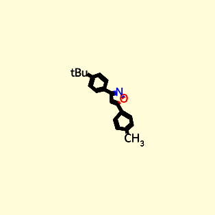 Cc1ccc(-c2cc(-c3ccc(C(C)(C)C)cc3)no2)cc1